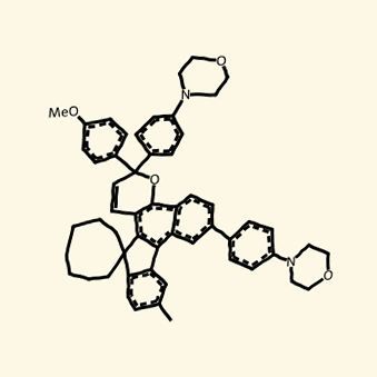 COc1ccc(C2(c3ccc(N4CCOCC4)cc3)C=Cc3c4c(c5cc(-c6ccc(N7CCOCC7)cc6)ccc5c3O2)-c2cc(C)ccc2C42CCCCCCC2)cc1